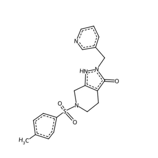 Cc1ccc(S(=O)(=O)N2CCc3c([nH]n(Cc4cccnc4)c3=O)C2)cc1